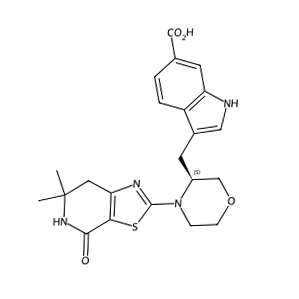 CC1(C)Cc2nc(N3CCOC[C@@H]3Cc3c[nH]c4cc(C(=O)O)ccc34)sc2C(=O)N1